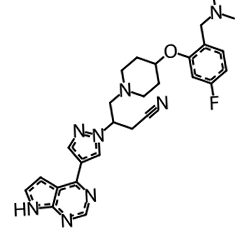 CN(C)Cc1ccc(F)cc1OC1CCN(CC(CC#N)n2cc(-c3ncnc4[nH]ccc34)cn2)CC1